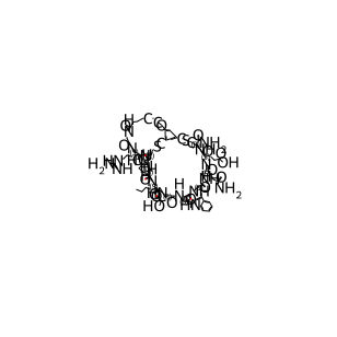 CCCC[C@@H]1NC(=O)[C@@H]2CCCN2C(=O)[C@@H]2CSCc3cc(cc(c3)OCCCCCCC(=O)NCC(=O)N[C@@H](CCCNC(=N)N)C(=O)N2)CSC[C@@H](C(N)=O)NC(=O)[C@H](CCC(=O)O)NC(=O)[C@H](CCC(N)=O)NC(=O)[C@H](Cc2c[nH]c3ccccc23)NC(=O)[C@H]([C@@H](C)CC)NC(=O)[C@H](CC(=O)O)NC1=O